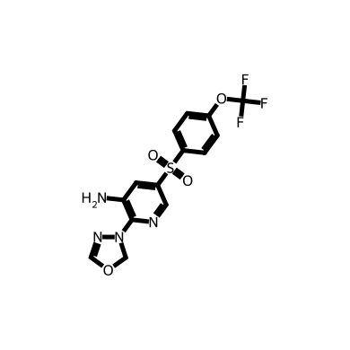 Nc1cc(S(=O)(=O)c2ccc(OC(F)(F)F)cc2)cnc1N1COC=N1